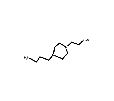 COCCN1CCN(CCCN)CC1